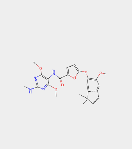 CNc1nc(OC)c(NC(=O)c2ccc(Oc3cc4c(cc3OC)C=C[Si]4(C)C)o2)c(OC)n1